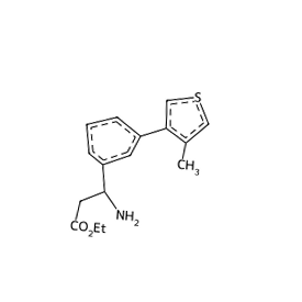 CCOC(=O)CC(N)c1cccc(-c2cscc2C)c1